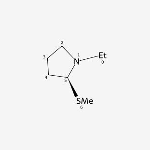 CCN1CCC[C@@H]1SC